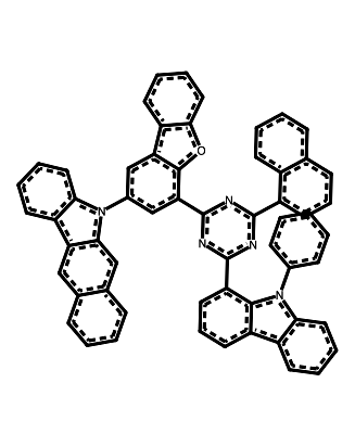 c1ccc(-n2c3ccccc3c3cccc(-c4nc(-c5cccc6ccccc56)nc(-c5cc(-n6c7ccccc7c7cc8ccccc8cc76)cc6c5oc5ccccc56)n4)c32)cc1